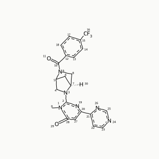 Cn1c(N2CC3C[C@H]2CN3C(=O)c2ccc(C(F)(F)F)cc2)nc(-c2ccncn2)cc1=O